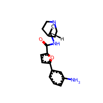 Nc1cccc(-c2ccc(C(=O)N[C@H]3CN4CCC3CC4)o2)c1